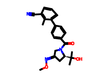 CO/N=C1\C[C@@H](C(C)(C)O)N(C(=O)c2ccc(-c3cccc(C#N)c3C)cc2)C1